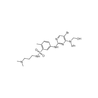 CCCN(CO)c1nc(Nc2ccc(C)c(S(=O)(=O)NCCCN(C)C)c2)ncc1Br